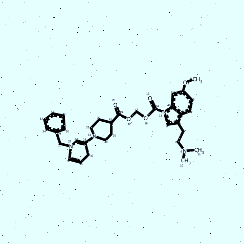 COc1ccc2c(CCN(C)C)cn(C(=O)OCOC(=O)C3CCN(C4=CN(Cc5ccccc5)C=CC4)CC3)c2c1